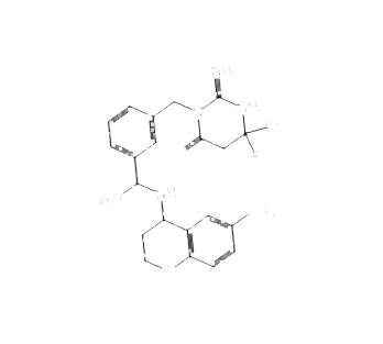 CCC1(CC)CC(=O)N(Cc2cccc(C(O)NC3CCOc4ccc(C)cc43)c2)C(=N)N1